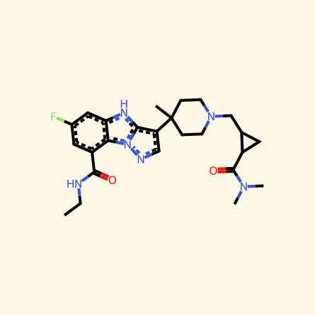 CCNC(=O)c1cc(F)cc2[nH]c3c(C4(C)CCN(CC5CC5C(=O)N(C)C)CC4)cnn3c12